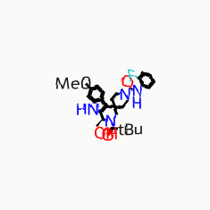 COc1ccc2c3c([nH]c2c1)[C@H](CO)N(C(=O)C(C)(C)C)CC31CCN(C(=O)Nc2ccccc2F)CC1